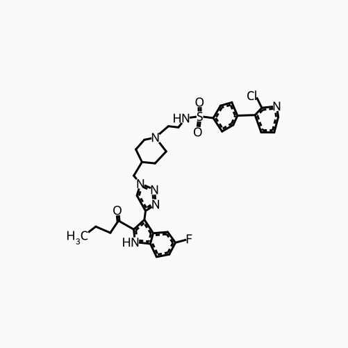 CCCC(=O)c1[nH]c2ccc(F)cc2c1-c1cn(CC2CCN(CCNS(=O)(=O)c3ccc(-c4cccnc4Cl)cc3)CC2)nn1